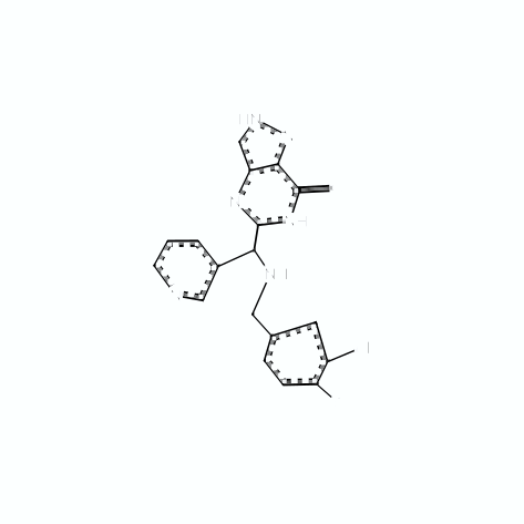 O=c1[nH]c(C(NCc2ccc(Cl)c(Cl)c2)c2cccnc2)nc2c[nH]nc12